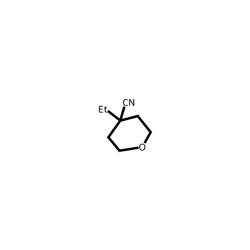 CCC1(C#N)CCOCC1